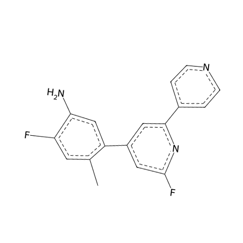 Cc1cc(F)c(N)cc1-c1cc(F)nc(-c2ccncc2)c1